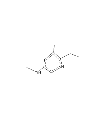 CCc1ncc(NC)cc1C